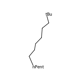 CCCCCCCCCCCC(C)(C)C